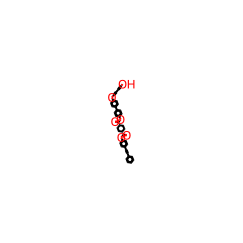 O=C(Oc1ccc(C#Cc2ccccc2)cc1)[C@H]1CC[C@H](C(=O)Oc2ccc(-c3ccc(OC#CC#CO)cc3)cc2)CC1